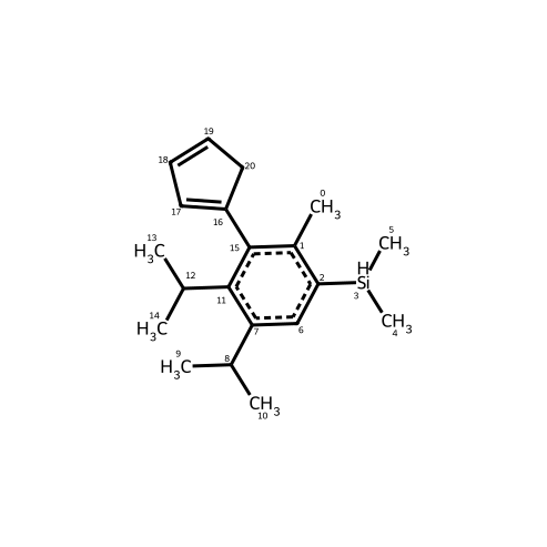 Cc1c([SiH](C)C)cc(C(C)C)c(C(C)C)c1C1=CC=CC1